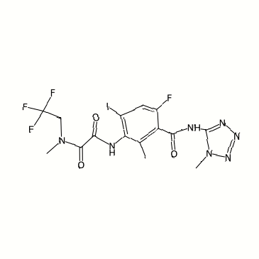 Cc1c(NC(=O)C(=O)N(C)CC(F)(F)F)c(I)cc(F)c1C(=O)Nc1nnnn1C